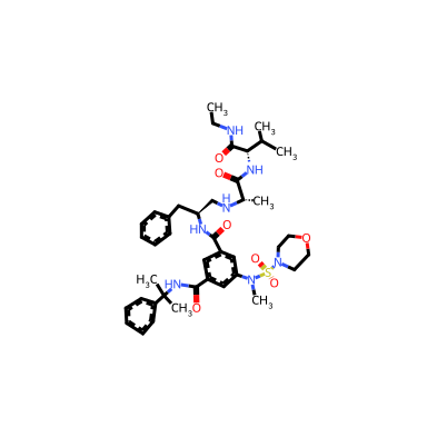 CCNC(=O)[C@@H](NC(=O)[C@H](C)NC[C@H](Cc1ccccc1)NC(=O)c1cc(C(=O)NC(C)(C)c2ccccc2)cc(N(C)S(=O)(=O)N2CCOCC2)c1)C(C)C